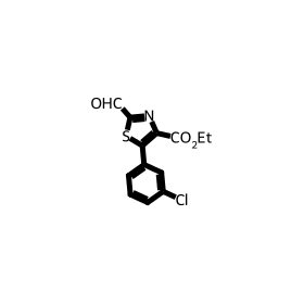 CCOC(=O)c1nc(C=O)sc1-c1cccc(Cl)c1